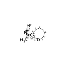 C1CCCCOCCCC1.C[SiH](C)N=[N+]=[N-]